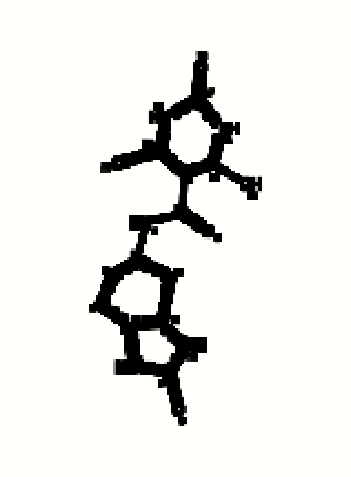 O=C(Nc1ccc2[nH]c(=O)[nH]c2c1)c1c(O)[nH]c(=O)[nH]c1=O